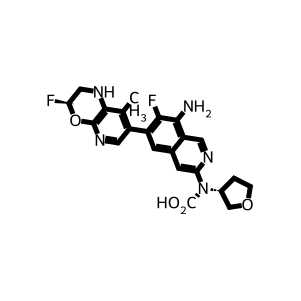 Cc1c(-c2cc3cc(N(C(=O)O)[C@@H]4CCOC4)ncc3c(N)c2F)cnc2c1NC[C@H](F)O2